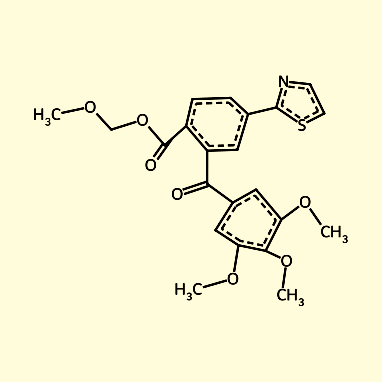 COCOC(=O)c1ccc(-c2nccs2)cc1C(=O)c1cc(OC)c(OC)c(OC)c1